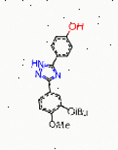 COc1ccc(-c2n[nH]c(-c3ccc(O)cc3)n2)cc1OCC(C)C